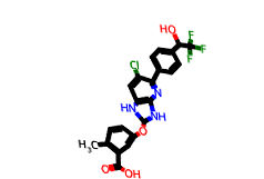 Cc1ccc(OC2Nc3cc(Cl)c(-c4ccc(C(O)C(F)(F)F)cc4)nc3N2)cc1C(=O)O